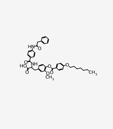 CCCCCCCOc1ccc(C(=O)Oc2ccc(CC(NC(=O)c3ccc(NC(=O)Cc4ccccc4)cc3)C(=O)O)cc2OC)cc1